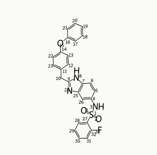 O=S(=O)(Nc1ccc2[nH]c(Cc3ccc(Oc4ccccc4)cc3)nc2c1)c1ccccc1F